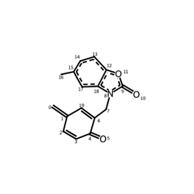 C=C1C=CC(=O)C(Cn2c(=O)oc3ccc(C)cc32)=C1